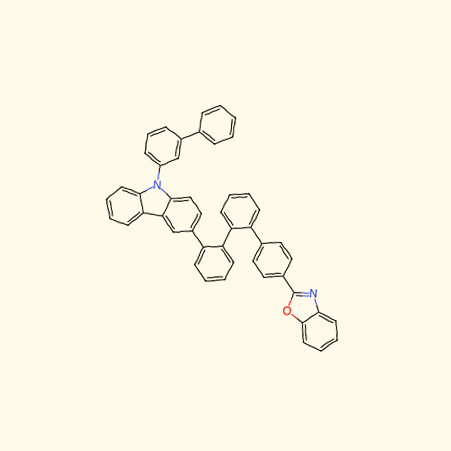 c1ccc(-c2cccc(-n3c4ccccc4c4cc(-c5ccccc5-c5ccccc5-c5ccc(-c6nc7ccccc7o6)cc5)ccc43)c2)cc1